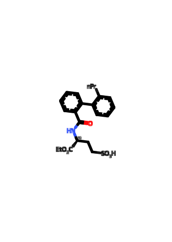 CCCc1ccccc1-c1ccccc1C(=O)N[C@@H](CCS(=O)(=O)O)C(=O)OCC